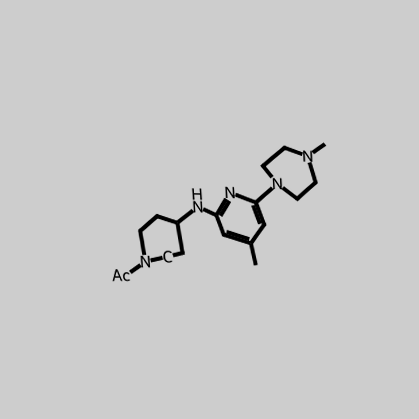 CC(=O)N1CCC(Nc2cc(C)cc(N3CCN(C)CC3)n2)CC1